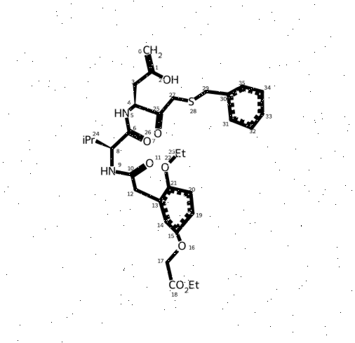 C=C(O)C[C@H](NC(=O)[C@@H](NC(=O)Cc1cc(OCC(=O)OCC)ccc1OCC)C(C)C)C(=O)CSCc1ccccc1